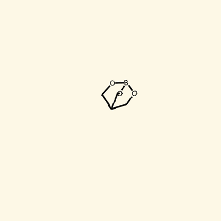 C1OB2OCC1CO2